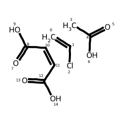 C=CCl.CC(=O)O.O=C(O)/C=C\C(=O)O